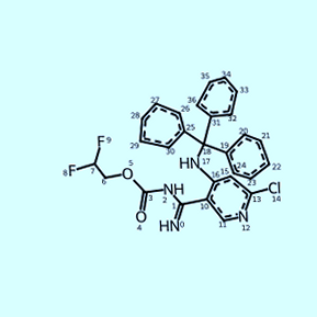 N=C(NC(=O)OCC(F)F)c1cnc(Cl)cc1NC(c1ccccc1)(c1ccccc1)c1ccccc1